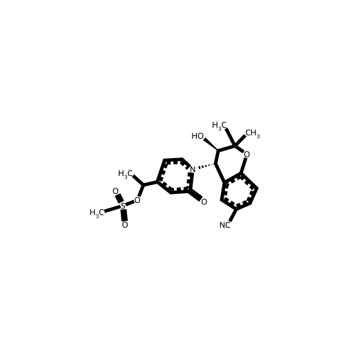 CC(OS(C)(=O)=O)c1ccn([C@H]2c3cc(C#N)ccc3OC(C)(C)[C@@H]2O)c(=O)c1